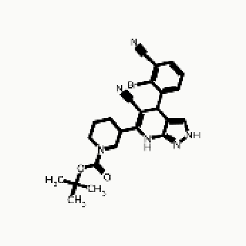 CC(C)(C)OC(=O)N1CCCC(C2=C(C#N)C(c3cccc(C#N)c3Br)c3c[nH]nc3N2)C1